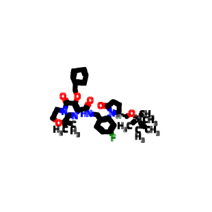 CC1(C)OCCn2c1nc(C(=O)NCc1ccc(F)cc1N1C(=O)CC[C@@H]1CO[Si](C)(C)C(C)(C)C)c(OCc1ccccc1)c2=O